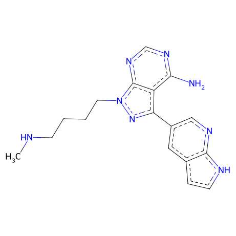 CNCCCCn1nc(-c2cnc3[nH]ccc3c2)c2c(N)ncnc21